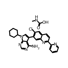 CNC(=O)O.Nc1ncnc2c1c(-c1cc3nc(-c4ccccn4)ccc3cc1Cl)cn2C1CCCCC1